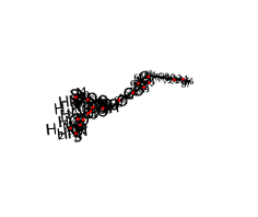 COP(=O)(OCC1OC(n2cnc3c(=S)[nH]c(N)nc32)C(O)C1O)OC1CC(n2cnc3c(=S)[nH]c(N)nc32)OC1COP(=O)(O)O[C@H](CO)COCCOCCOCCOc1c(C)c(C)c2c(c1C)CC[C@@](C)(CCCCCCCCCCCC(C)C)O2